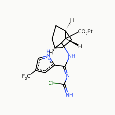 CCOC(=O)[C@@H]1C(N/C(=N/C(=N)Cl)c2cc(C(F)(F)F)c[nH]2)[C@H]2CC[C@@H]1CC2